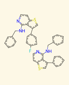 Fc1ccc(-c2csc3ccnc(NCc4ccccc4)c23)cc1.c1ccc(CNc2nccc3scc(-c4ccccc4)c23)cc1